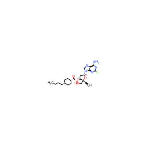 C#C[C@]1(CO)O[C@@H](n2cnc3c(N)nc(F)nc32)C[C@@H]1OC(=O)[C@H]1CC[C@H](CCCC)CC1